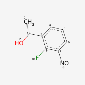 C[C@@H](O)c1cccc(N=O)c1F